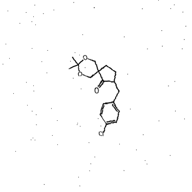 CC1(C)OCC2(CCC(Cc3ccc(Cl)cc3)C2=O)CO1